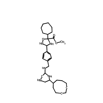 COC(=O)C1(C2CCCCCC2)NC(c2ccc(CNC3CNCC(C4CCCCCCCC4)N3)cc2)NO1